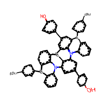 CC(C)(C)c1ccc(B2c3ccccc3N3c4cc(-c5ccc(O)cc5)cc5c4B(c4cccc2c43)c2cc(-c3ccc(O)cc3)cc3c2N5c2ccccc2B3c2ccc(C(C)(C)C)cc2)cc1